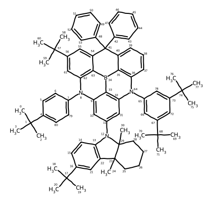 CC(C)(C)c1ccc(N2c3cc(N4c5ccc(C(C)(C)C)cc5C5(C)CCCCC45C)cc4c3B3c5c(cccc5C(c5ccccc5)(c5ccccc5)c5cc(C(C)(C)C)cc2c53)N4c2cc(C(C)(C)C)cc(C(C)(C)C)c2)cc1